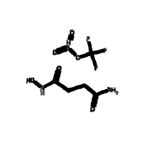 NC(=O)CCC(=O)NO.O=[SH](=O)OC(F)(F)F